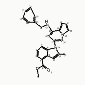 COC(=O)c1cccc2c1cc(C)n2-c1nc(NCc2ccccc2)c2cccn2n1